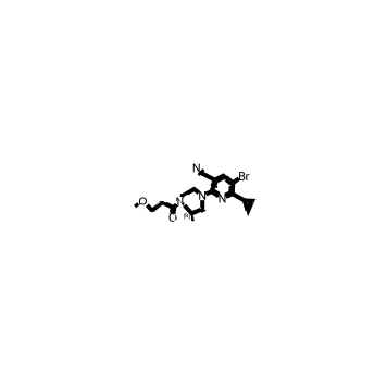 COCCC(=O)N1CCN(c2nc(C3CC3)c(Br)cc2C#N)C[C@H]1C